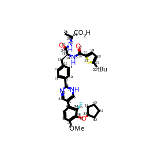 COc1ccc(C2=CNC(c3ccc(C[C@H](NC(=O)c4ccc(C(C)(C)C)s4)C(=O)N[C@H](C)C(=O)O)cc3)N=C2)c(F)c1OC1CCCC1